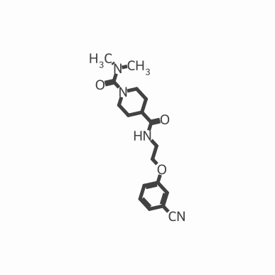 CN(C)C(=O)N1CCC(C(=O)NCCOc2cccc(C#N)c2)CC1